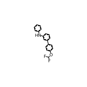 FC(F)Oc1ccc(-c2cccc(Nc3ccccc3)c2)cc1